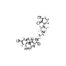 CCCc1nc(C(=O)NCCCN2CCN(c3cccc(Cl)c3Cl)CC2)c(C)n1-c1ccc(Cl)cc1